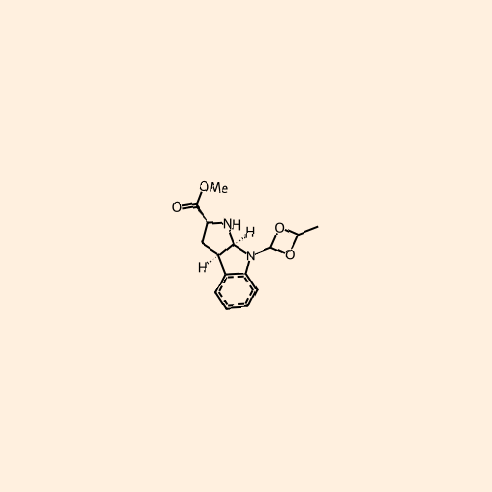 COC(=O)[C@@H]1C[C@@H]2c3ccccc3N(C3OC(C)O3)[C@@H]2N1